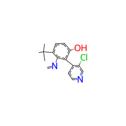 C=Nc1c(C(C)(C)C)ccc(O)c1-c1ccncc1Cl